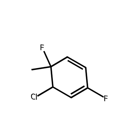 CC1(F)C=CC(F)=CC1Cl